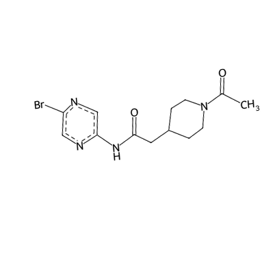 CC(=O)N1CCC(CC(=O)Nc2cnc(Br)cn2)CC1